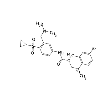 BN(C)Cc1cc(NC(=O)OC[C@H](C)c2ccc(Br)cc2C)ccc1S(=O)(=O)C1CC1